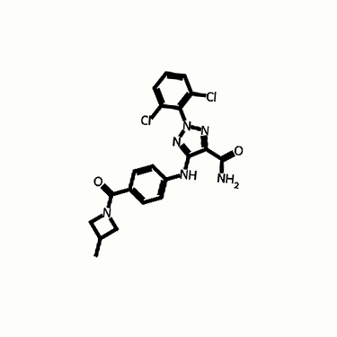 CC1CN(C(=O)c2ccc(Nc3nn(-c4c(Cl)cccc4Cl)nc3C(N)=O)cc2)C1